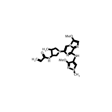 C=CC(=O)NC1CN(c2cn3c(OC)cnc3c(Nc3cn(C)nc3OC)n2)CC1C